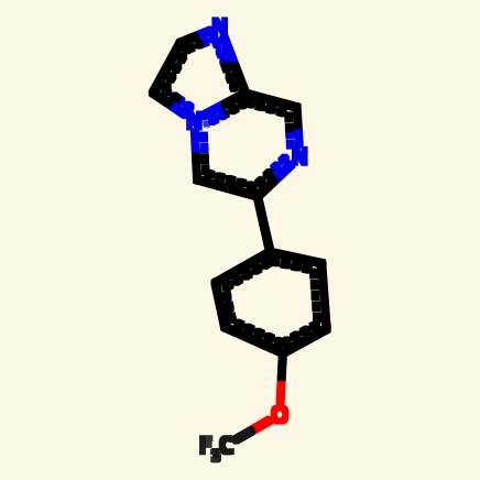 FC(F)(F)Oc1ccc(-c2cn3ccnc3cn2)cc1